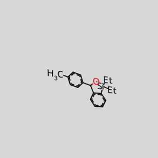 CC[Si]1(CC)OC(c2ccc(C)cc2)c2ccccc21